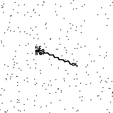 CCCCCCCCCCCCO[PH](C)(O)O